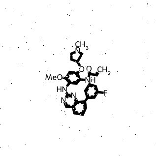 C=CC(=O)Nc1cc(Nc2ncc3cccc(-c4cccc(F)c4)c3n2)c(OC)cc1OC1CCN(C)C1